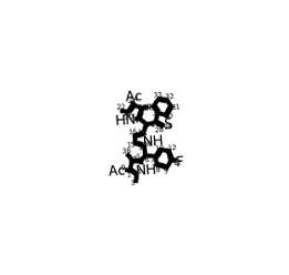 CC(=O)c1c(C)[nH]c(C(c2ccc(F)cc2)c2ccc(C(c3[nH]c(C)c(C(C)=O)c3C)c3csc4ccccc34)[nH]2)c1C